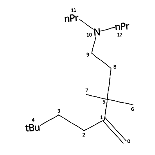 C=C(CCC(C)(C)C)C(C)(C)CCN(CCC)CCC